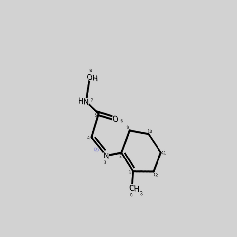 CC1=C(/N=C\C(=O)NO)CCCC1